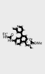 CCNC(=O)Nc1cc2c(-c3ccnc(C)c3)ccc(CN(C)C(=O)OC)c2cn1